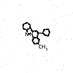 Cc1ccc2c(c1)c(-c1ccccc1)cc1c3ccccc3nn21